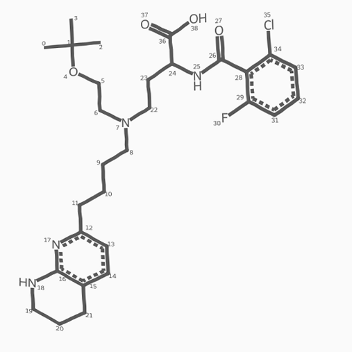 CC(C)(C)OCCN(CCCCc1ccc2c(n1)NCCC2)CCC(NC(=O)c1c(F)cccc1Cl)C(=O)O